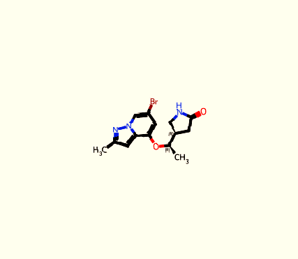 Cc1cc2c(O[C@H](C)[C@H]3CNC(=O)C3)cc(Br)cn2n1